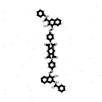 O=C(Nc1cc2ccccc2c(N=Nc2ccc(-n3c(=O)c4cc5c(=O)n(-c6ccc(N=Nc7c(O)c(C(=O)Nc8ccccc8)cc8ccccc78)cc6)c(=O)c5cc4c3=O)cc2)c1O)c1ccccc1